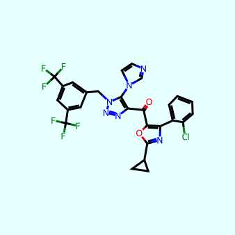 O=C(c1nnn(Cc2cc(C(F)(F)F)cc(C(F)(F)F)c2)c1-n1ccnc1)c1oc(C2CC2)nc1-c1ccccc1Cl